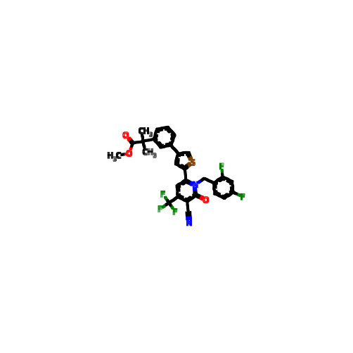 COC(=O)C(C)(C)c1cccc(-c2csc(-c3cc(C(F)(F)F)c(C#N)c(=O)n3Cc3ccc(F)cc3F)c2)c1